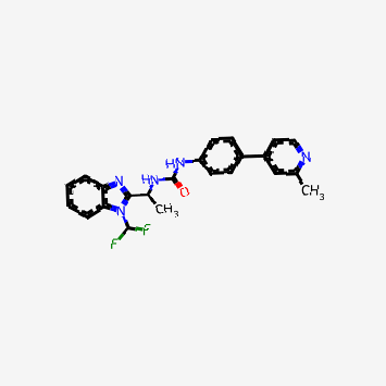 Cc1cc(-c2ccc(NC(=O)NC(C)c3nc4ccccc4n3C(F)F)cc2)ccn1